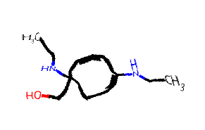 CCNC1=CCC(CO)(NCC)C=C1